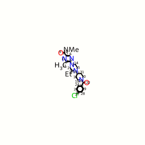 CC[C@H]1CN(c2ncc(C(=O)NC)nc2C)CCN1C1CCN(C(=O)c2ccc(Cl)cc2)CC1